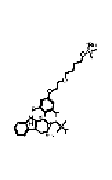 C[C@@H]1Cc2c([nH]c3ccccc23)[C@@H](c2c(F)cc(OCCOCCCCO[Si](C)(C)C(C)(C)C)cc2F)N1CC(C)(C)F